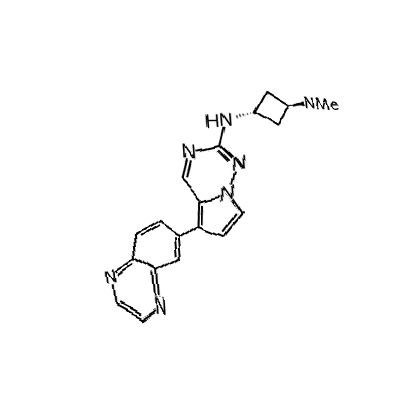 CN[C@H]1C[C@H](Nc2ncc3c(-c4ccc5nccnc5c4)ccn3n2)C1